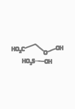 O=C(O)COO.O=S(=O)(O)O